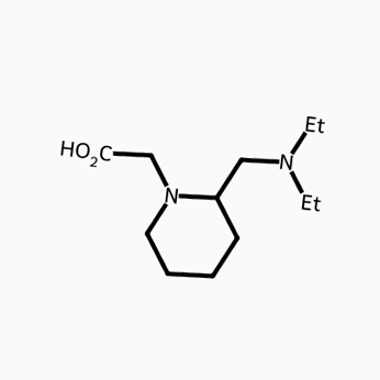 CCN(CC)CC1CCCCN1CC(=O)O